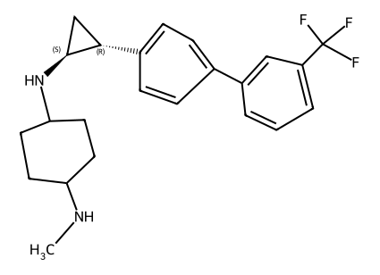 CNC1CCC(N[C@H]2C[C@@H]2c2ccc(-c3cccc(C(F)(F)F)c3)cc2)CC1